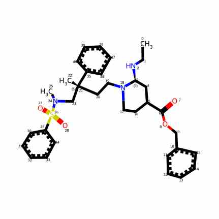 CCN[C@H]1CC(C(=O)OCc2ccccc2)CCN1CC[C@](C)(CN(C)S(=O)(=O)c1ccccc1)c1ccccc1